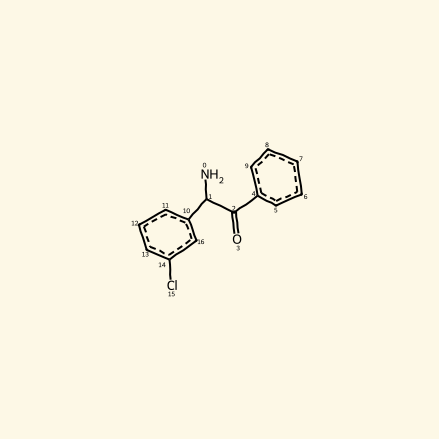 NC(C(=O)c1ccccc1)c1cccc(Cl)c1